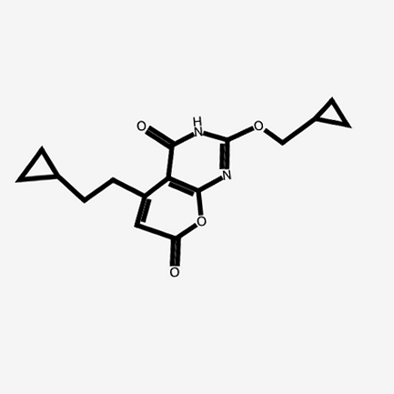 O=c1cc(CCC2CC2)c2c(=O)[nH]c(OCC3CC3)nc2o1